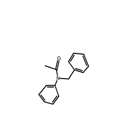 CC(=O)N(Cc1cc[c]cc1)c1ccccc1